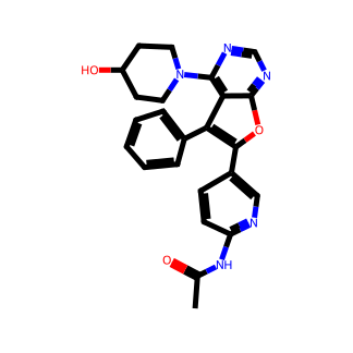 CC(=O)Nc1ccc(-c2oc3ncnc(N4CCC(O)CC4)c3c2-c2ccccc2)cn1